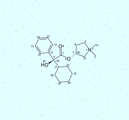 C[N+]1(C)CC[C@@H](OC(=O)[C@@](O)(c2ccccc2)C2CCCCC2)C1